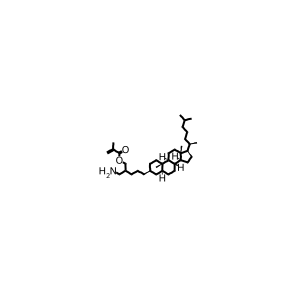 C=C(C)C(=O)OCC(CN)CCC[C@H]1CC[C@@]2(C)[C@@H](CC[C@@H]3[C@@H]2CC[C@]2(C)[C@@H]([C@H](C)CCCC(C)C)CC[C@@H]32)C1